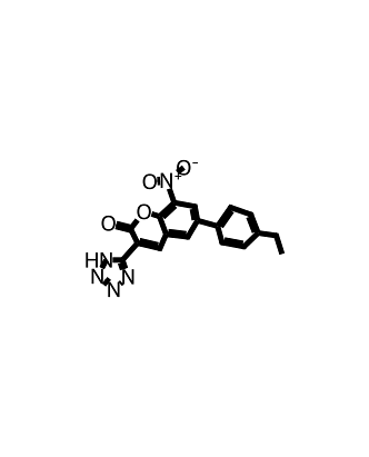 CCc1ccc(-c2cc([N+](=O)[O-])c3oc(=O)c(-c4nnn[nH]4)cc3c2)cc1